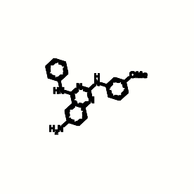 COc1cccc(Nc2nc(Nc3ccccc3)c3cc(N)ccc3n2)c1